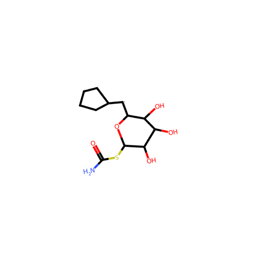 NC(=O)SC1OC([CH]C2CCCC2)C(O)C(O)C1O